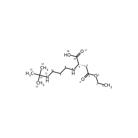 CCOC(=O)C[C@H](NCCCNC(C)(C)C)C(=O)O